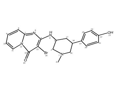 CN1CC(Nc2nc3ccccn3c(=O)c2Br)CC(c2ccc(O)cc2)C1